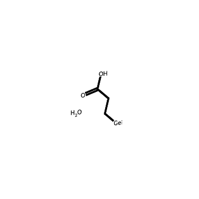 O.O=C(O)C[CH2][Ge]